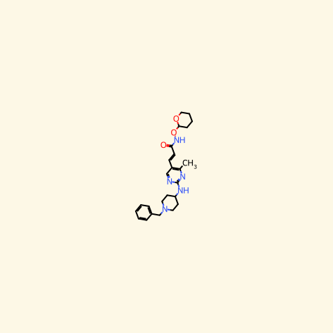 Cc1nc(NC2CCN(Cc3ccccc3)CC2)ncc1C=CC(=O)NOC1CCCCO1